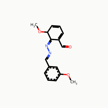 COc1cccc(C=NN=C2C(C=O)=CC=CC2OC)c1